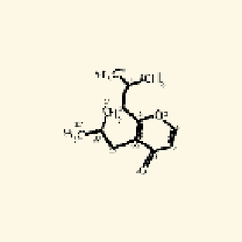 CC(C)Cc1occc(=O)c1CC(C)C